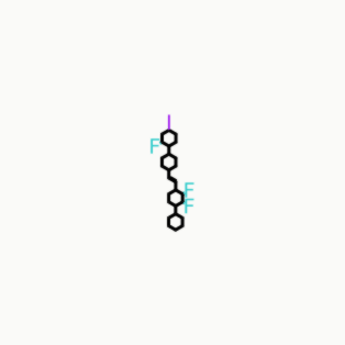 FC1CC(I)CCC1C1CCC(/C=C/C2CCC(C3CCCCC3)C(F)C2F)CC1